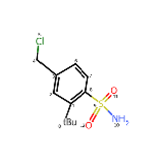 CC(C)(C)c1cc(CCl)ccc1S(N)(=O)=O